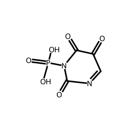 O=C1C=NC(=O)N(P(=O)(O)O)C1=O